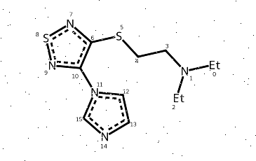 CCN(CC)CCSc1nsnc1-n1ccnc1